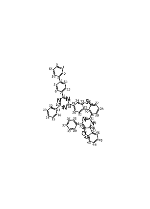 c1ccc(-c2ccc(-c3nc(-c4ccccc4)nc(-c4ccc5c(c4)sc4cccc(-c6nc(-c7ccccc7)c7oc8ccccc8c7n6)c45)n3)cc2)cc1